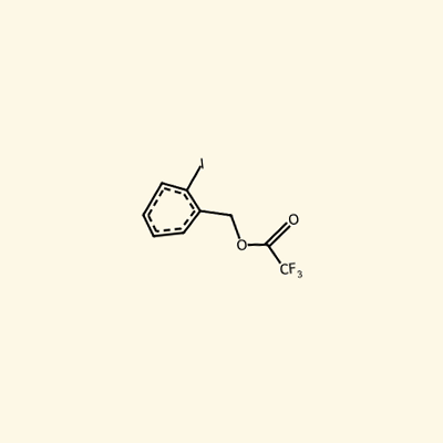 O=C(OCc1ccccc1I)C(F)(F)F